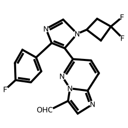 O=Cc1cnc2ccc(-c3c(-c4ccc(F)cc4)ncn3C3CC(F)(F)C3)nn12